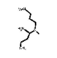 CNCCCN(C)C(N)CCN